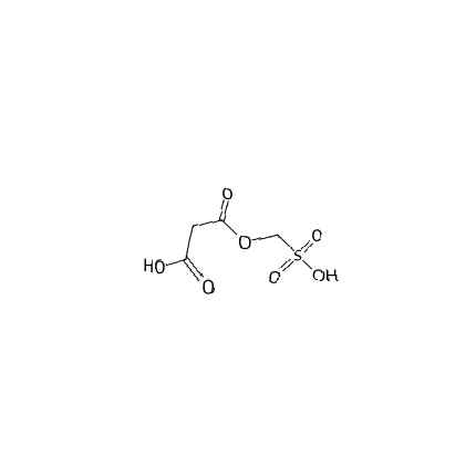 O=C(O)CC(=O)OCS(=O)(=O)O